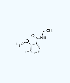 CCNC(=O)c1cccc(I)c1OC